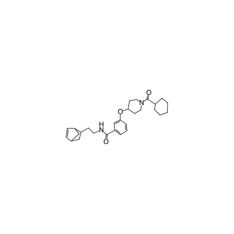 O=C(NCCC1CC2C=CC1C2)c1cccc(OC2CCN(C(=O)C3CCCCC3)CC2)c1